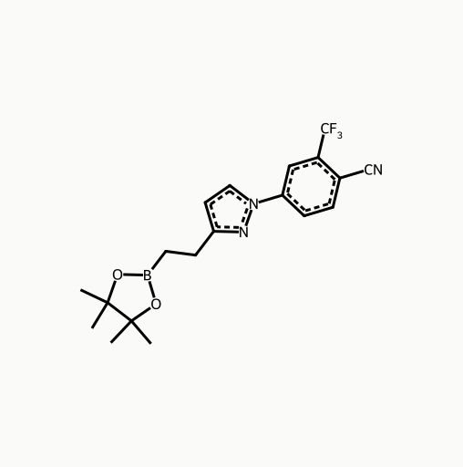 CC1(C)OB(CCc2ccn(-c3ccc(C#N)c(C(F)(F)F)c3)n2)OC1(C)C